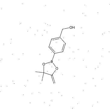 C=C1OB(c2ccc(CO)cc2)OC1(C)C